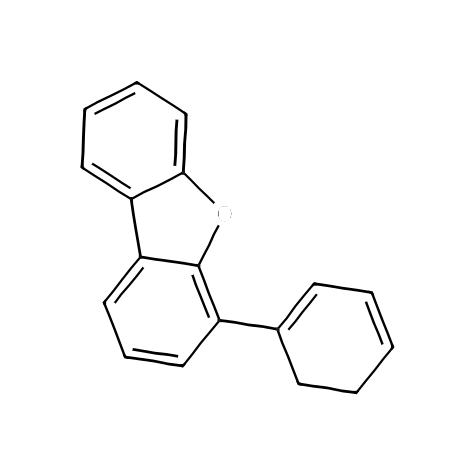 C1=CCCC(c2cccc3c2oc2ccccc23)=C1